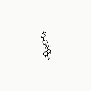 COc1nccc2c(S(=O)(=O)N3CCN(C(=O)OC(C)(C)C)CC3)csc12